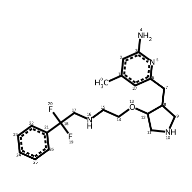 Cc1cc(N)nc(CC2CNCC2OCCNCC(F)(F)c2ccccc2)c1